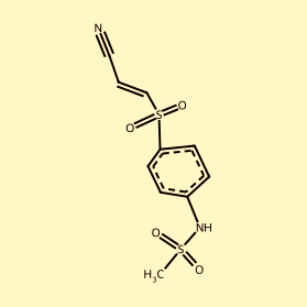 CS(=O)(=O)Nc1ccc(S(=O)(=O)C=CC#N)cc1